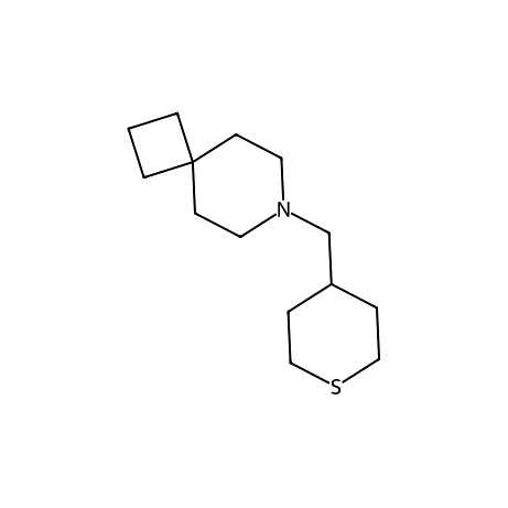 C1CC2(C1)CCN(CC1CCSCC1)CC2